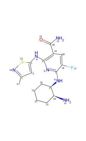 Cc1cc(Nc2nc(N[C@@H]3CCCC[C@@H]3N)c(F)cc2C(N)=O)sn1